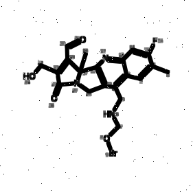 Cc1cc2c(CNCOBr)c3c(nc2cc1F)C1(C)C(C=O)=C(CO)C(=O)N1C3